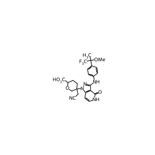 COC(C)(c1ccc(Nc2nn(C3(CC#N)CCC(C(=O)O)OC3)c3cc[nH]c(=O)c23)cc1)C(F)(F)F